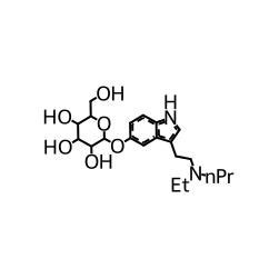 CCCN(CC)CCc1c[nH]c2ccc(OC3OC(CO)C(O)C(O)C3O)cc12